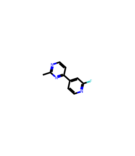 Cc1nccc(-c2ccnc(F)c2)n1